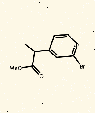 COC(=O)C(C)c1ccnc(Br)c1